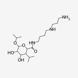 CC(C)OC1OC(C(=O)NCCCCNCCCN)C(C(C)C)C(O)C1O